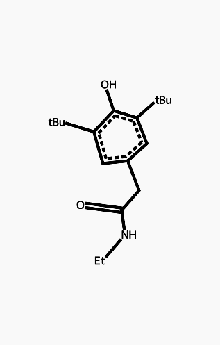 CCNC(=O)Cc1cc(C(C)(C)C)c(O)c(C(C)(C)C)c1